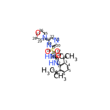 CC(C)c1cccc(C(C)C)c1NC(=O)NS(=O)(=O)c1cncc(N2CCOCC2)n1